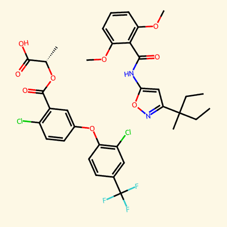 CCC(C)(CC)c1cc(NC(=O)c2c(OC)cccc2OC)on1.C[C@H](OC(=O)c1cc(Oc2ccc(C(F)(F)F)cc2Cl)ccc1Cl)C(=O)O